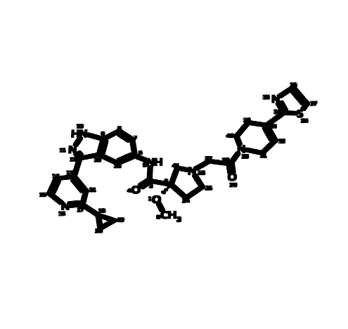 CO[C@@]1(C(=O)Nc2ccc3[nH]nc(-c4ccnc(C5CC5)c4)c3c2)CCN(CC(=O)N2CC=C(c3nccs3)CC2)C1